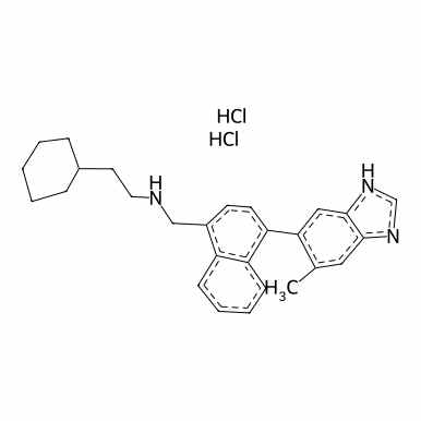 Cc1cc2nc[nH]c2cc1-c1ccc(CNCCC2CCCCC2)c2ccccc12.Cl.Cl